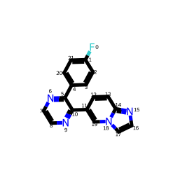 Fc1ccc(-c2nccnc2-c2ccc3nccn3c2)cc1